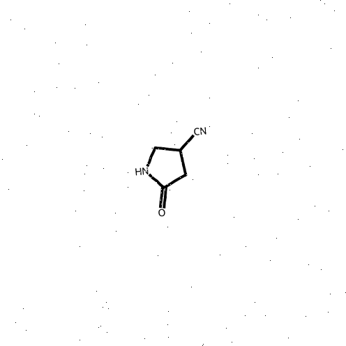 N#CC1[CH]NC(=O)C1